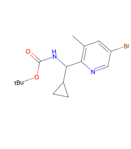 Cc1cc(Br)cnc1C(NC(=O)OC(C)(C)C)C1CC1